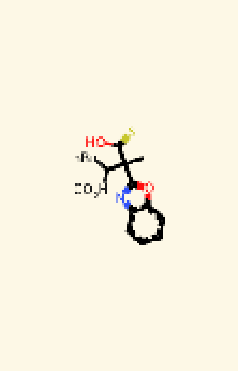 CCCCC(C(=O)O)C(C)(C(O)=S)c1nc2ccccc2o1